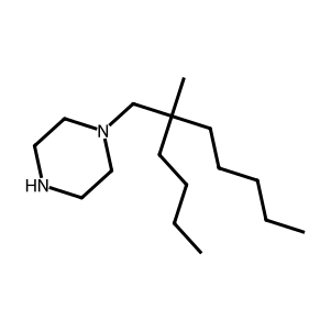 CCCCCC(C)(CCCC)CN1CCNCC1